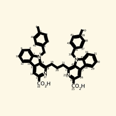 Cc1ccc(Cn2c3ccccc3c3cc(C(=O)O)nc(CCCc4nc(C(=O)O)cc5c6ccccc6n(Cc6ccc(C)cc6)c45)c32)cc1